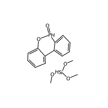 CO[SiH](OC)OC.O=[PH]1Oc2ccccc2-c2ccccc21